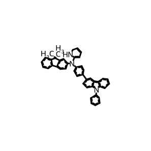 CC1(C)c2ccccc2-c2ccc(N(C3=CC=CCN3)c3ccc(-c4ccc5c(c4)c4ccccc4n5-c4ccccc4)cc3)cc21